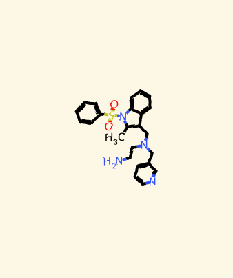 CC1C(CN(CCN)Cc2cccnc2)c2ccccc2N1S(=O)(=O)c1ccccc1